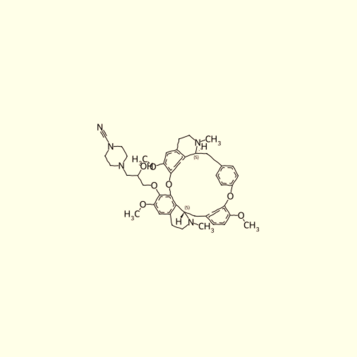 COc1ccc2cc1Oc1ccc(cc1)C[C@H]1c3cc(c(OC)cc3CCN1C)Oc1c(OCC(O)CN3CCN(C#N)CC3)c(OC)cc3c1[C@H](C2)N(C)CC3